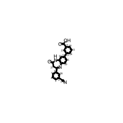 N#Cc1cccc(C2=Nc3ccc(-c4cccc(C(=O)O)c4)cc3NC(=O)C2)c1